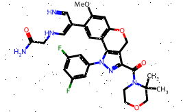 COc1cc2c(cc1/C(C=N)=C/NCC(N)=O)-c1c(c(C(=O)N3CCOCC3(C)C)nn1-c1cc(F)cc(F)c1)CO2